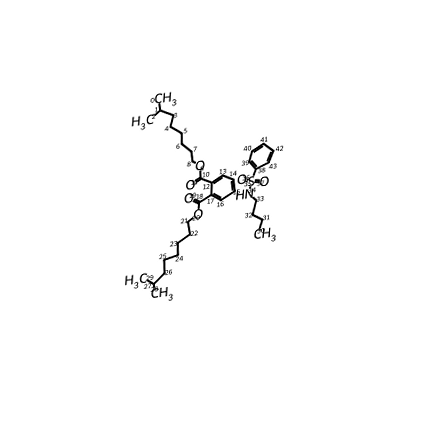 CC(C)CCCCCCOC(=O)c1ccccc1C(=O)OCCCCCCC(C)C.CCCCNS(=O)(=O)c1ccccc1